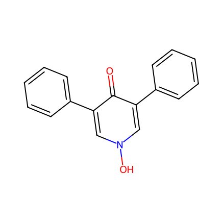 O=c1c(-c2ccccc2)cn(O)cc1-c1ccccc1